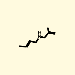 C=C(C)CNCC=CC